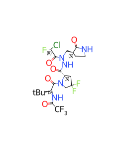 CC(C)(C)[C@H](NC(=O)C(F)(F)F)C(=O)N1CC(F)(F)C[C@H]1C(=O)NN(C[C@@H]1CCNC1=O)C(=O)[C@H](F)Cl